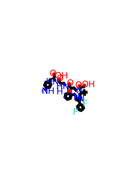 CNc1ccc(C[C@H](NC(=O)CCNC(=O)[C@@H](N)CCN(C(=O)CO)[C@@H](c2nc(-c3cc(F)ccc3F)cn2Cc2ccccc2)C(C)(C)C)C(=O)O)cc1